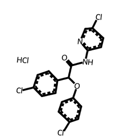 Cl.O=C(Nc1ccc(Cl)cn1)C(Oc1ccc(Cl)cc1)c1ccc(Cl)cc1